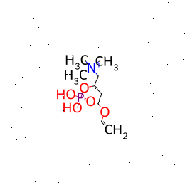 C=COCCC(C[N+](C)(C)C)OP(=O)(O)O